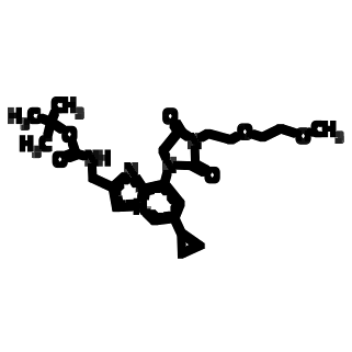 COCCOCCN1C(=O)CN(c2cc(C3CC3)cn3cc(CNC(=O)OC(C)(C)C)nc23)C1=O